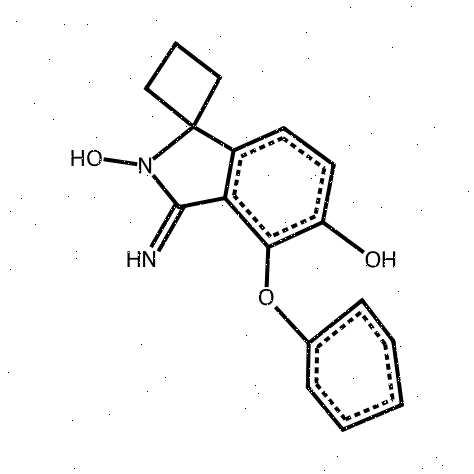 N=C1c2c(ccc(O)c2Oc2ccccc2)C2(CCC2)N1O